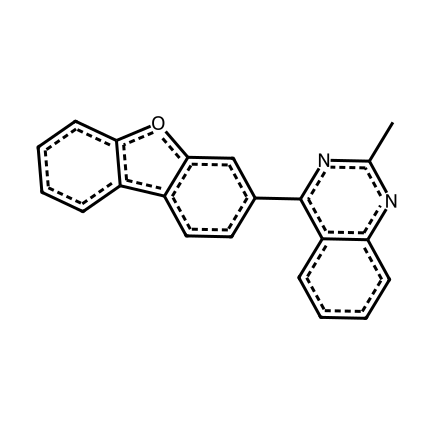 Cc1nc(-c2ccc3c(c2)oc2ccccc23)c2ccccc2n1